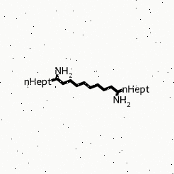 CCCCCCCC(N)CCCCCCCCC(N)CCCCCCC